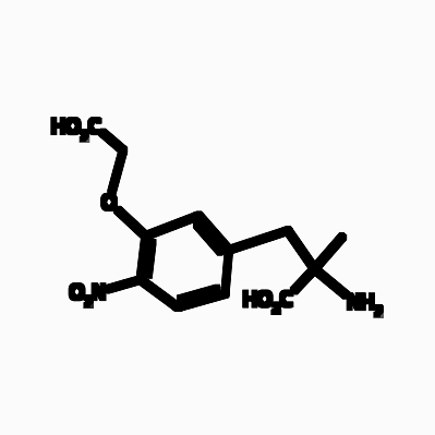 CC(N)(Cc1ccc([N+](=O)[O-])c(OCC(=O)O)c1)C(=O)O